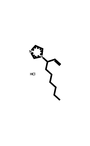 C=CC(CCCCCC)n1ccnc1.Cl